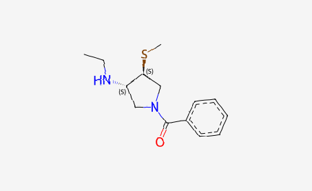 CCN[C@H]1CN(C(=O)c2ccccc2)C[C@@H]1SC